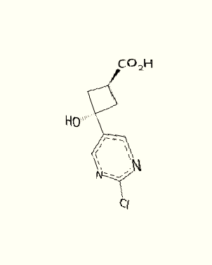 O=C(O)[C@H]1C[C@@](O)(c2cnc(Cl)nc2)C1